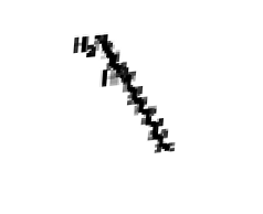 CCCCCCCCCCCCCNCCCCCN